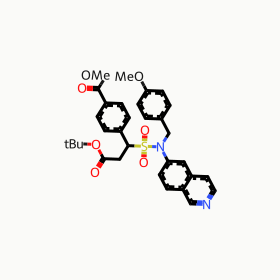 COC(=O)c1ccc(C(CC(=O)OC(C)(C)C)S(=O)(=O)N(Cc2ccc(OC)cc2)c2ccc3cnccc3c2)cc1